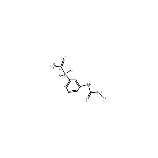 CC(C)(C)NC(=O)Nc1cccc([N+](C)(C)C(N)=O)c1